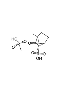 CC12CCC(C(S(=O)(=O)O)C1=O)C2(C)C.CS(=O)(=O)O